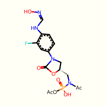 CC(=O)OP(=O)(O)N(C[C@H]1CN(c2ccc(N/C=N\O)c(F)c2)C(=O)O1)C(C)=O